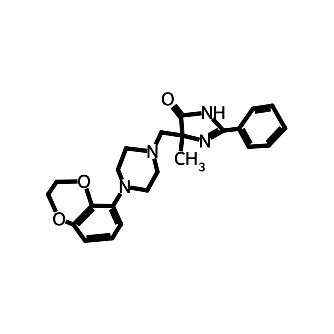 CC1(CN2CCN(c3cccc4c3OCCO4)CC2)N=C(c2ccccc2)NC1=O